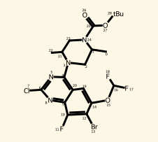 CC1CN(c2nc(Cl)nc3c(F)c(Br)c(OC(F)F)cc23)C(C)CN1C(=O)OC(C)(C)C